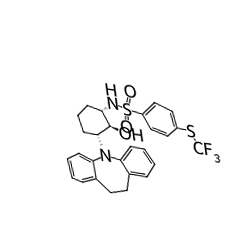 O=S(=O)(N[C@H]1CCC[C@@H](N2c3ccccc3CCc3ccccc32)[C@@H]1O)c1ccc(SC(F)(F)F)cc1